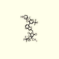 Cc1nc(C(F)(F)F)cc(-c2ccnc3cc(CN4C(=O)C5C(C)(C)C5(OC(=O)C(F)(F)F)C4=O)sc23)c1O[C@H]1CCCNC1